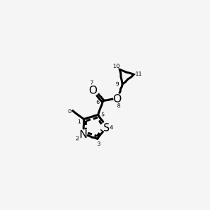 Cc1ncsc1C(=O)OC1CC1